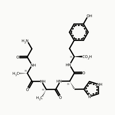 C[C@H](NC(=O)CN)C(=O)N[C@@H](C)C(=O)N[C@@H](Cc1c[nH]cn1)C(=O)N[C@@H](Cc1ccc(O)cc1)C(=O)O